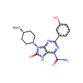 CO[C@H]1CC[C@@H](n2c(=O)[nH]c3c(C(N)=O)nc(-c4cccc(O)c4)nc32)CC1